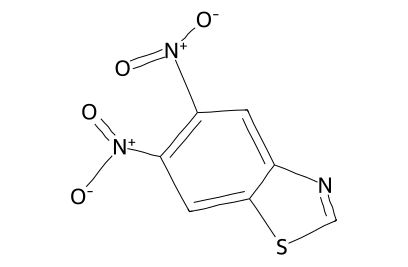 O=[N+]([O-])c1cc2ncsc2cc1[N+](=O)[O-]